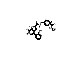 CC(C)c1ccccc1-c1cn(C)c(=O)c2[nH]c(C(=O)NCC3=CCC(C)(C(=O)NO)C=C3)cc12